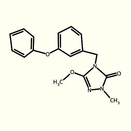 COc1nn(C)c(=O)n1Cc1cccc(Oc2ccccc2)c1